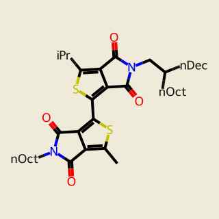 CCCCCCCCCCC(CCCCCCCC)CN1C(=O)c2c(-c3sc(C)c4c3C(=O)N(CCCCCCCC)C4=O)sc(C(C)C)c2C1=O